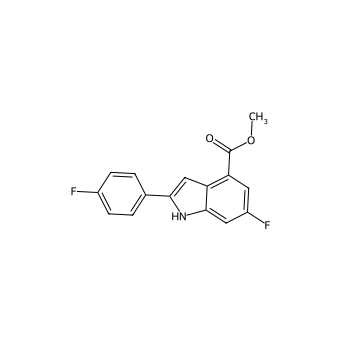 COC(=O)c1cc(F)cc2[nH]c(-c3ccc(F)cc3)cc12